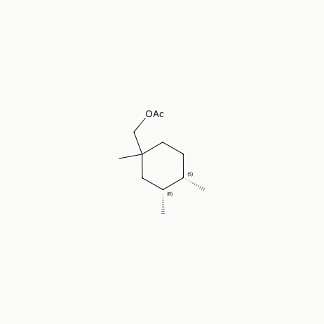 CC(=O)OCC1(C)CC[C@H](C)[C@H](C)C1